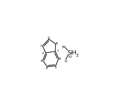 C1=Cc2ccccc2C1.C[SiH2]C